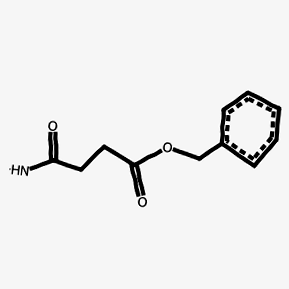 [NH]C(=O)CCC(=O)OCc1ccccc1